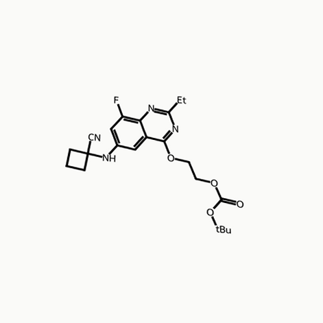 CCc1nc(OCCOC(=O)OC(C)(C)C)c2cc(NC3(C#N)CCC3)cc(F)c2n1